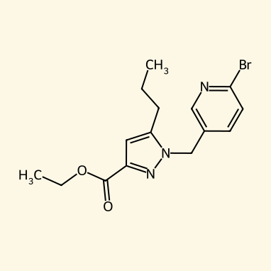 CCCc1cc(C(=O)OCC)nn1Cc1ccc(Br)nc1